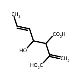 C=C(C(=O)O)C(C(=O)O)C(O)C=CC